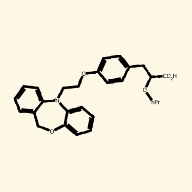 CCCOC(Cc1ccc(OCCN2c3ccccc3COc3ccccc32)cc1)C(=O)O